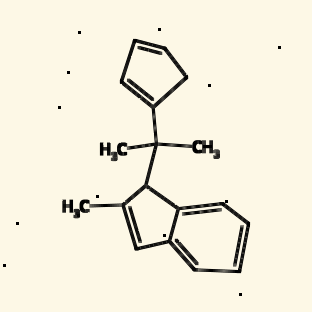 CC1=Cc2ccccc2C1C(C)(C)C1=CC=CC1